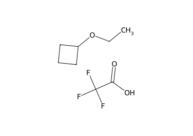 CCOC1CCC1.O=C(O)C(F)(F)F